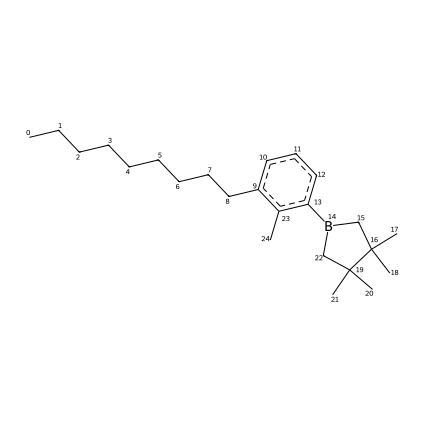 CCCCCCCCCc1cccc(B2CC(C)(C)C(C)(C)C2)c1C